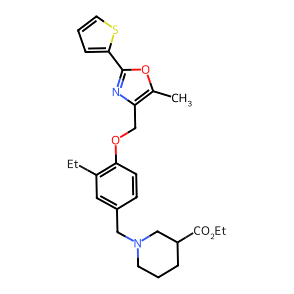 CCOC(=O)C1CCCN(Cc2ccc(OCc3nc(-c4cccs4)oc3C)c(CC)c2)C1